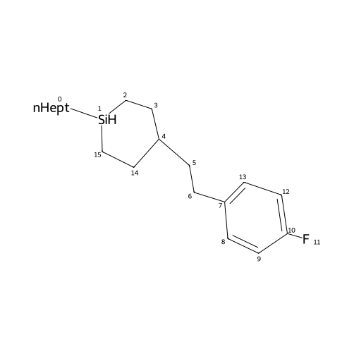 CCCCCCC[SiH]1CCC(CCc2ccc(F)cc2)CC1